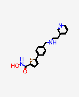 O=C(NO)c1ccc(-c2ccc(CNCCc3cccnc3)cc2)s1